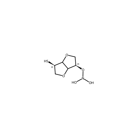 ON(O)O[C@@H]1COC2C1OC[C@H]2S